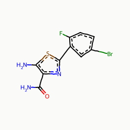 NC(=O)c1nc(-c2cc(Br)ccc2F)sc1N